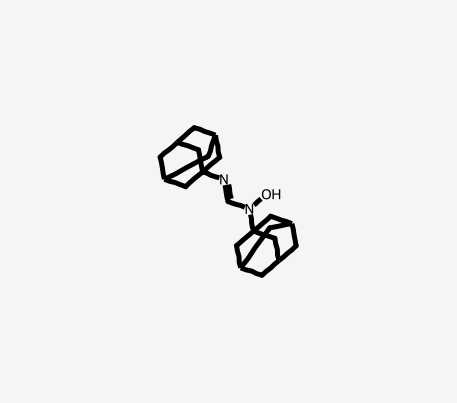 ON(/C=N/C12CC3CC(CC(C3)C1)C2)C12CC3CC(CC(C3)C1)C2